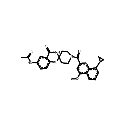 COc1cc(C(=O)N2CCC3(CC2)NC(=O)c2cc(NC(C)=O)ccc2O3)nc2c(C3CC3)cccc12